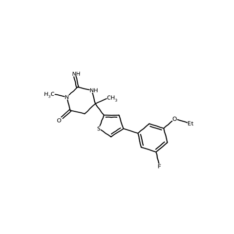 CCOc1cc(F)cc(-c2csc(C3(C)CC(=O)N(C)C(=N)N3)c2)c1